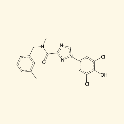 Cc1cccc(CN(C)C(=O)c2ncn(-c3cc(Cl)c(O)c(Cl)c3)n2)c1